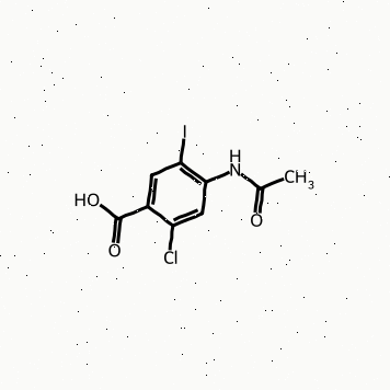 CC(=O)Nc1cc(Cl)c(C(=O)O)cc1I